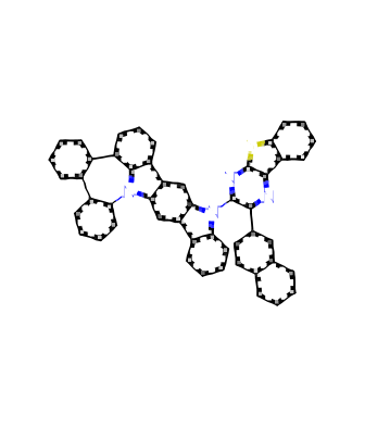 c1ccc2c(c1)-c1ccccc1-n1c3cc4c5ccccc5n(-c5nc6sc7ccccc7c6nc5-c5ccc6ccccc6c5)c4cc3c3cccc-2c31